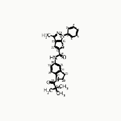 Cc1nn(-c2ccccc2)c2sc(C(=O)Nc3ccc4c(c3)CCN4C(=O)C(C)(C)C)cc12